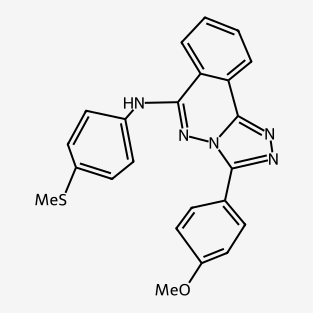 COc1ccc(-c2nnc3c4ccccc4c(Nc4ccc(SC)cc4)nn23)cc1